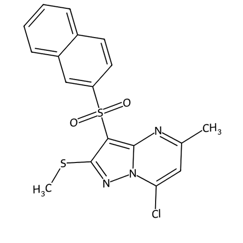 CSc1nn2c(Cl)cc(C)nc2c1S(=O)(=O)c1ccc2ccccc2c1